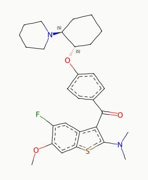 COc1cc2sc(N(C)C)c(C(=O)c3ccc(O[C@H]4CCCC[C@@H]4N4CCCCC4)cc3)c2cc1F